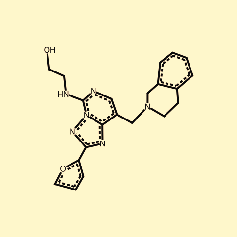 OCCNc1ncc(CN2CCc3ccccc3C2)c2nc(-c3ccco3)nn12